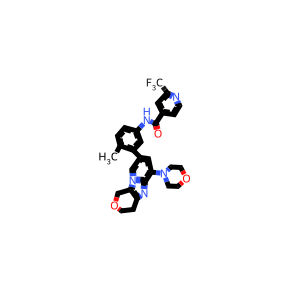 Cc1ccc(NC(=O)c2ccnc(C(F)(F)F)c2)cc1-c1cc(N2CCOCC2)c2nc3c(n2c1)COCC3